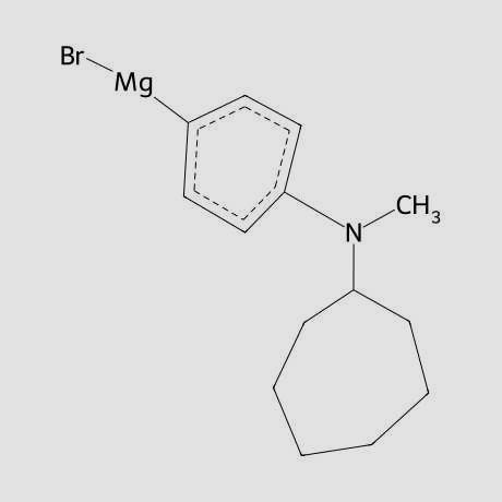 CN(c1cc[c]([Mg][Br])cc1)C1CCCCCC1